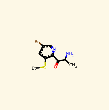 CCSc1cc(Br)cnc1C(=O)C(C)N